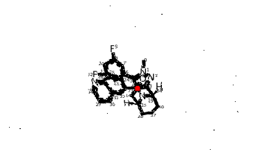 Cn1nc2c(c1-c1cc(F)cc(F)c1)C[C@H]1CCC[C@@H]2N1C(=O)c1ccc2ncccc2c1